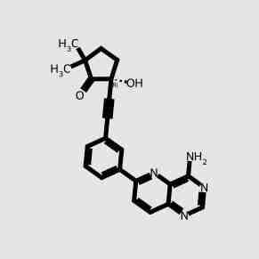 CC1(C)CC[C@@](O)(C#Cc2cccc(-c3ccc4ncnc(N)c4n3)c2)C1=O